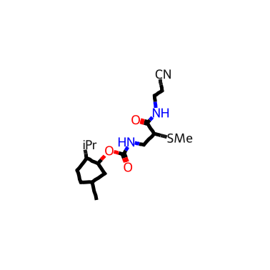 CSC(CNC(=O)OC1CC(C)CCC1C(C)C)C(=O)NCCC#N